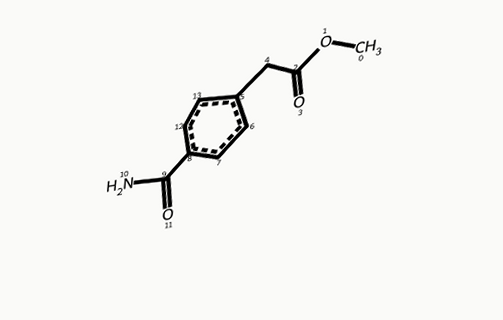 COC(=O)Cc1ccc(C(N)=O)cc1